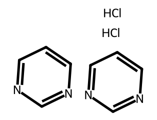 Cl.Cl.c1cncnc1.c1cncnc1